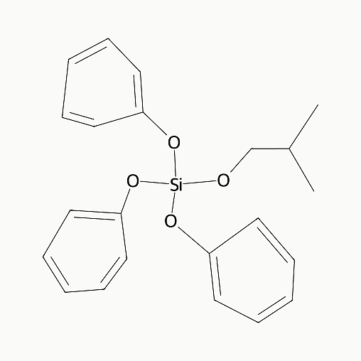 CC(C)CO[Si](Oc1ccccc1)(Oc1ccccc1)Oc1ccccc1